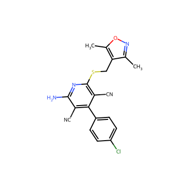 Cc1noc(C)c1CSc1nc(N)c(C#N)c(-c2ccc(Cl)cc2)c1C#N